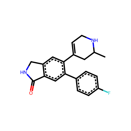 CC1CC(c2cc3c(cc2-c2ccc(F)cc2)C(=O)NC3)=CCN1